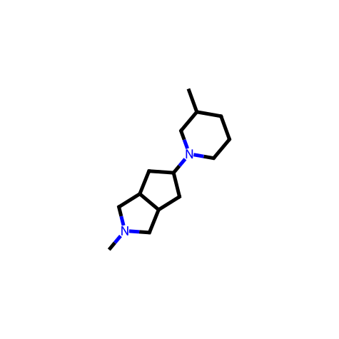 CC1CCCN(C2CC3CN(C)CC3C2)C1